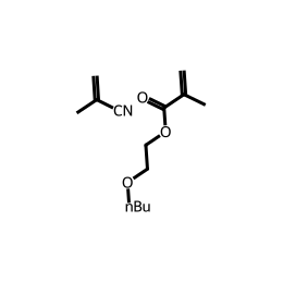 C=C(C)C#N.C=C(C)C(=O)OCCOCCCC